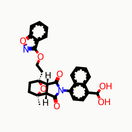 C[C@]12CC[C@](CCOc3noc4ccccc34)(O1)[C@@H]1C(=O)N(c3ccc(C(O)O)c4ccccc34)C(=O)[C@@H]12